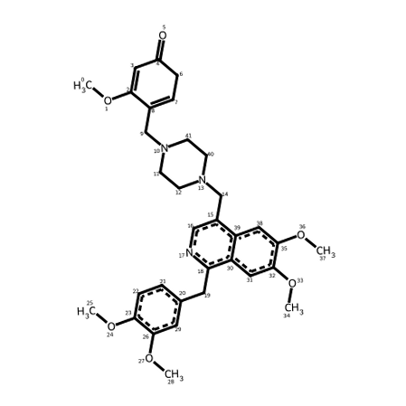 COC1=CC(=O)CC=C1CN1CCN(Cc2cnc(Cc3ccc(OC)c(OC)c3)c3cc(OC)c(OC)cc23)CC1